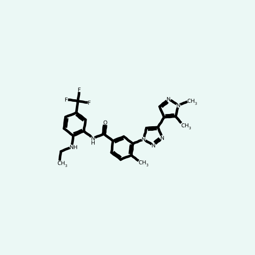 CCNc1ccc(C(F)(F)F)cc1NC(=O)c1ccc(C)c(-n2cc(-c3cnn(C)c3C)nn2)c1